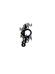 CC(C)(C)OC(=O)N[C@H]1CCCCC/C=C\[C@@H]2C[C@@]2(C(=O)NS(=O)(=O)N2CCc3ccccc3C2)NC(=O)[C@@H]2CCCN2C1=O